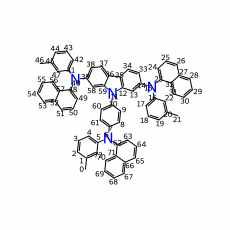 Cc1cccc(N(c2ccc(-n3c4cc(N(c5cccc(C)c5)c5cccc6ccccc56)ccc4c4ccc(N(c5cccc(C)c5)c5cccc6ccccc56)cc43)cc2)c2cccc3ccccc23)c1